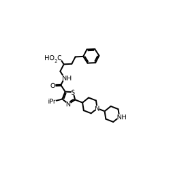 CC(C)c1nc(C2CCN(C3CCNCC3)CC2)sc1C(=O)NCC(CCc1ccccc1)C(=O)O